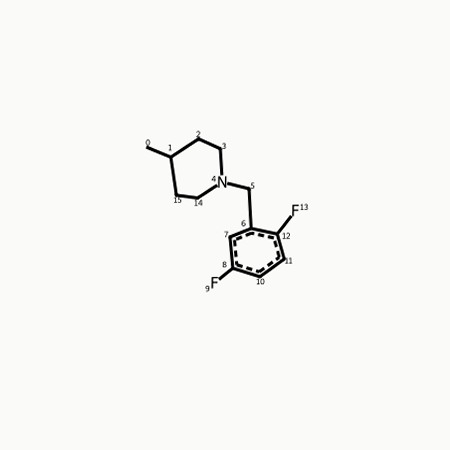 CC1CCN(Cc2cc(F)ccc2F)CC1